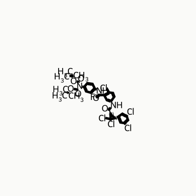 CC(C)(C)OC(=O)N(C(=O)OC(C)(C)C)c1ccc(NC(=O)c2cc(NC(=O)[C@H]3[C@H](c4cc(Cl)cc(Cl)c4)C3(Cl)Cl)ccc2Cl)c(F)c1